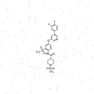 CS(=O)(=O)c1cc(Oc2cncc(-c3ccc(F)c(F)c3)c2)ccc1NC(=O)C1CCN(S(C)(=O)=O)CC1